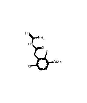 COc1ccc(Cl)c(CC(=O)NC(=N)N)c1F